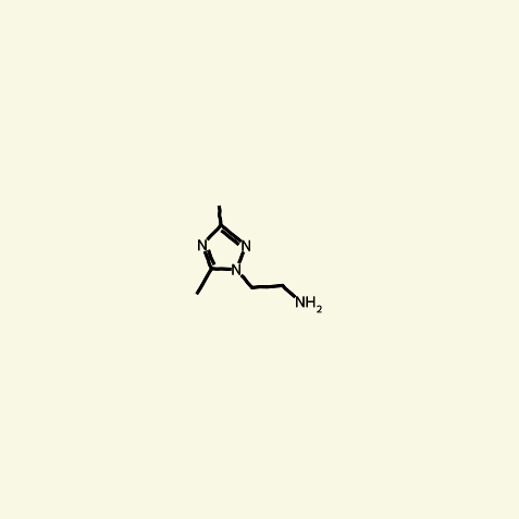 Cc1nc(C)n(CCN)n1